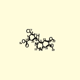 COC(=O)c1cc(Cl)cc(Nc2ncnc3cc(OC)c(OC)cc23)c1